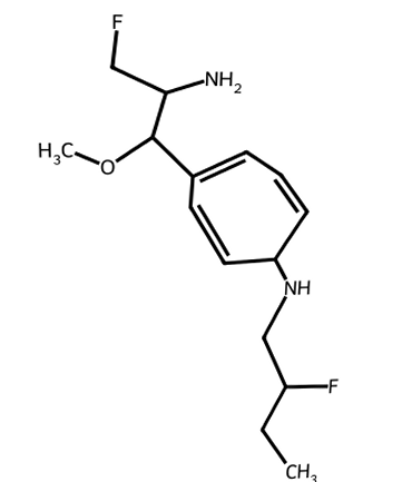 CCC(F)CNC1C=CC=C(C(OC)C(N)CF)C=C1